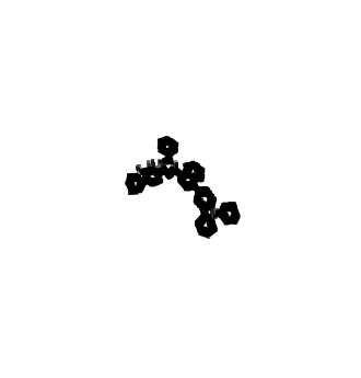 N/C(=N\C(=C/Cc1ccc2c(c1)sc1ccccc12)c1ccc(-c2ccc3c(c2)c2ccccc2n3-c2ccccc2)c2ccccc12)c1ccccc1